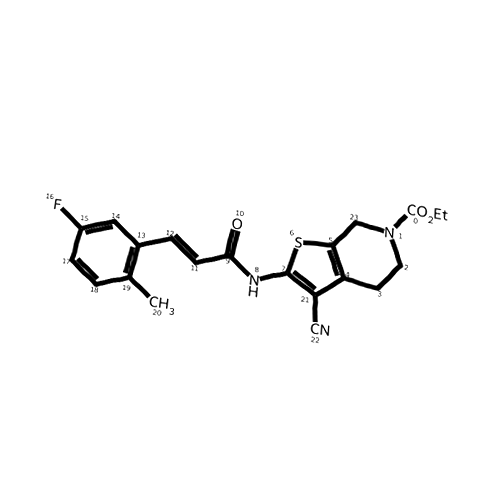 CCOC(=O)N1CCc2c(sc(NC(=O)/C=C/c3cc(F)ccc3C)c2C#N)C1